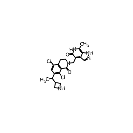 Cc1[nH]c(=O)c(CN2CCc3c(Cl)cc(C(C)C4CNC4)c(Cl)c3C2=O)c2cn[nH]c12